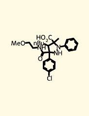 CCCCC1C(C(=O)NCCOC)(c2ccc(Cl)cc2)NN(c2ccccc2)C1(C)C(=O)O